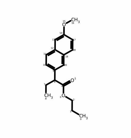 CCCOC(=O)C(CC)c1ccc2cc(OC)ccc2c1